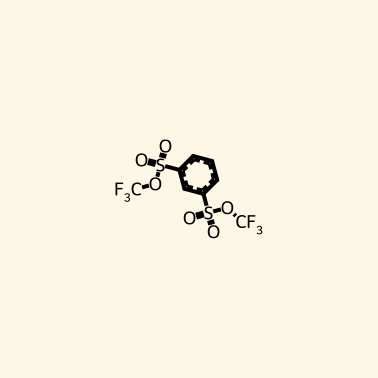 O=S(=O)(OC(F)(F)F)c1cccc(S(=O)(=O)OC(F)(F)F)c1